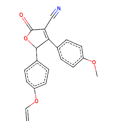 C=COc1ccc(C2OC(=O)C(C#N)=C2c2ccc(OC)cc2)cc1